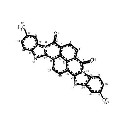 O=c1c2ccc3c(=O)n4c5cc(C(F)(F)F)ccc5nc4c4ccc(c2c34)c2nc3cc(C(F)(F)F)ccc3n12